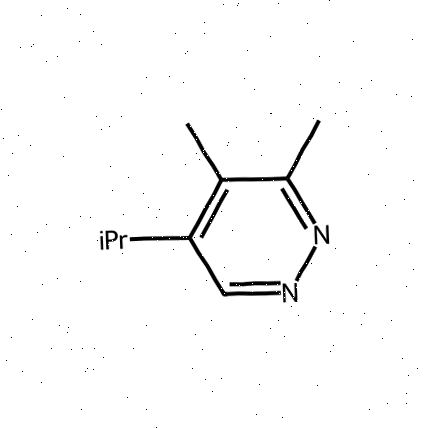 Cc1nncc(C(C)C)c1C